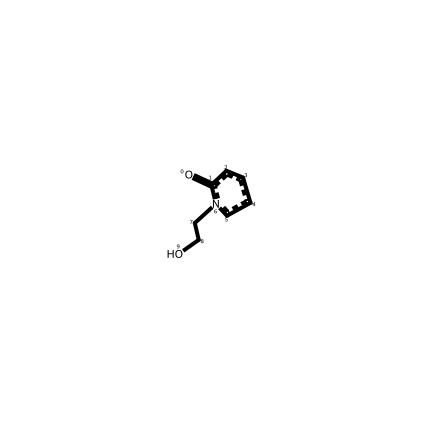 O=c1ccccn1CCO